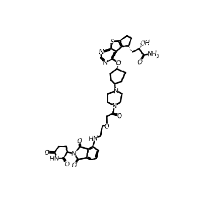 NC(=O)[C@@H](O)C[C@H]1CCc2sc3ncnc(O[C@H]4CC[C@H](N5CCN(C(=O)COCCNc6cccc7c6C(=O)N(C6CCC(=O)NC6=O)C7=O)CC5)CC4)c3c21